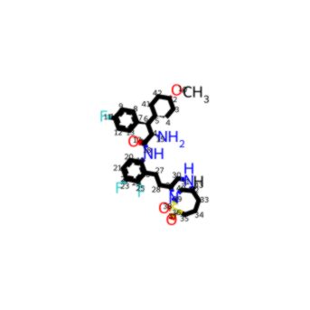 CO[C@H]1CC[C@H]([C@H](c2ccc(F)cc2)[C@H](N)C(=O)Nc2ccc(F)c(F)c2CCC2CN[C@@H]3CCCS(=O)(=O)N2C3)CC1